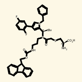 CC(C)(C)[C@H](c1cc(-c2cc(F)ccc2F)cn1Cc1ccccc1)N(CCCNC(=O)OCC1c2ccccc2-c2ccccc21)C(=O)CSC[C@H](N)C(=O)O